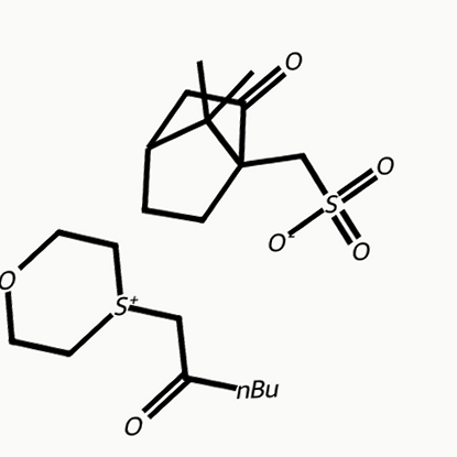 CC1(C)C2CCC1(CS(=O)(=O)[O-])C(=O)C2.CCCCC(=O)C[S+]1CCOCC1